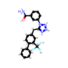 NC(=O)c1cccc(-n2nnnc2Cc2ccc(-c3ccccc3)c(C(F)(F)F)c2)c1